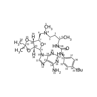 CC(CCN(C)C[C@H]1OC(n2cnc3c(N)ncnc32)[C@@H]2OC(C)(C)O[C@H]12)NC(=O)Nc1ccc(C(C)(C)C)cc1